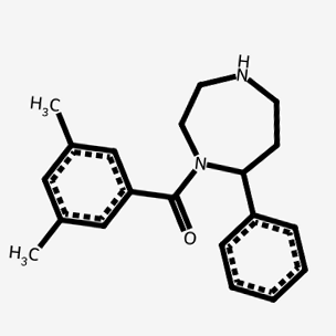 Cc1cc(C)cc(C(=O)N2CCNCCC2c2ccccc2)c1